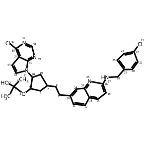 CC(C)(O)OC1CC(CCc2ccc3ccc(NCc4ccc(Cl)cc4)nc3c2)CC1n1ccc2c(Cl)ncnc21